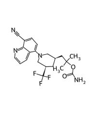 CC(C)(C[C@H]1C[C@@H](C(F)(F)F)CN(c2ccc(C#N)c3ncccc23)C1)OC(N)=O